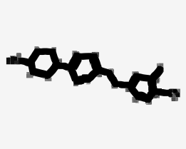 CCCCC1CCC(c2ccc(CCc3ccc(C#N)c(C)c3)cc2)CC1